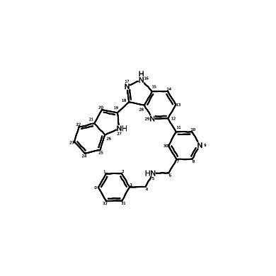 c1ccc(CNCc2cncc(-c3ccc4[nH]nc(-c5cc6ccccc6[nH]5)c4n3)c2)cc1